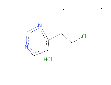 Cl.ClCCc1ccncn1